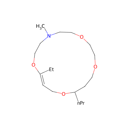 CCCC1CCOCCOCCN(C)CCO/C(CC)=C/CO1